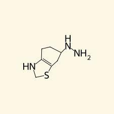 NNC1CCC2=C(C1)SCN2